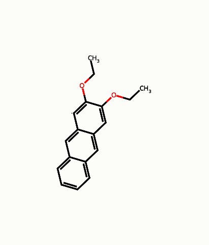 CCOc1[c]c2cc3ccccc3cc2cc1OCC